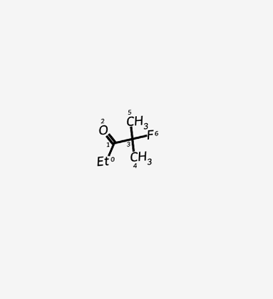 CCC(=O)C(C)(C)F